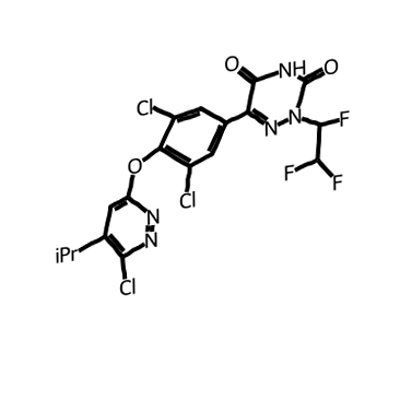 CC(C)c1cc(Oc2c(Cl)cc(-c3nn(C(F)C(F)F)c(=O)[nH]c3=O)cc2Cl)nnc1Cl